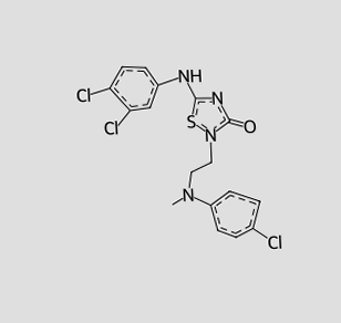 CN(CCn1sc(Nc2ccc(Cl)c(Cl)c2)nc1=O)c1ccc(Cl)cc1